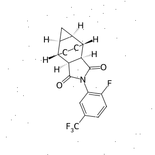 O=C1[C@@H]2[C@@H]3CC[C@@H]([C@H]4C[C@H]43)[C@@H]2C(=O)N1c1cc(C(F)(F)F)ccc1F